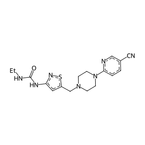 CCNC(=O)Nc1cc(CN2CCN(c3ccc(C#N)cn3)CC2)sn1